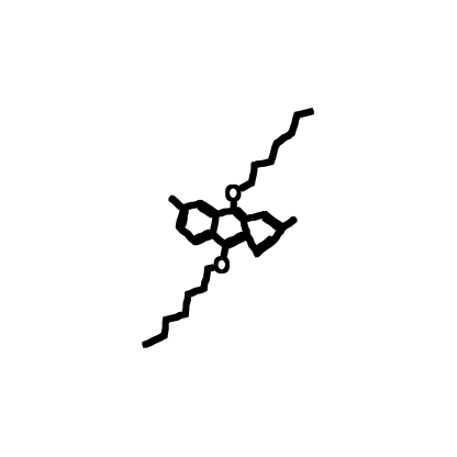 CCCCCCCOc1c2ccc(C)cc2c(OCCCCCCC)c2cc(C)ccc12